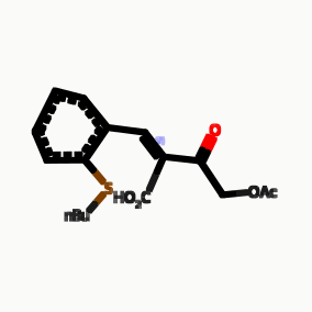 CCCCSc1ccccc1/C=C(\C(=O)O)C(=O)COC(C)=O